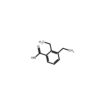 CCc1cccc(C([NH])=O)c1CC